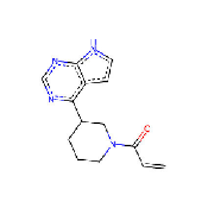 C=CC(=O)N1CCCC(c2ncnc3[nH]ccc23)C1